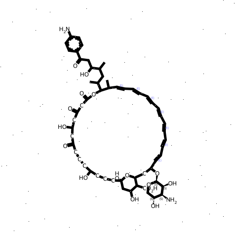 CC1/C=C/C=C/C=C/C=C/C=C/C=C/C=C/C(O[C@@H]2OC[C@@H](O)[C@H](N)[C@@H]2O)CC2OC(O)(CCCC(O)CCCC(=O)CC(O)CC(=O)CC(=O)OC1C(C)CC(C)C(O)CC(=O)c1ccc(N)cc1)CC(O)C2C(=O)O